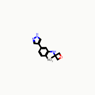 CC1(Nc2cc(-c3cn[nH]c3)ccc2[N+](=O)[O-])COC1